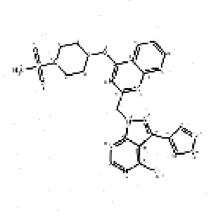 CS(=O)(=O)N1CCC(Oc2nc(Cn3nc(-c4cn[nH]c4)c4c(N)ncnc43)nc3ccccc23)CC1